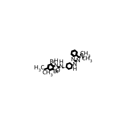 CC(C)c1cc(Br)c(NC(=O)NC[C@H]2CC[C@@H](Nc3nc(N(C)C)c4ccccc4n3)CC2)c(Br)c1